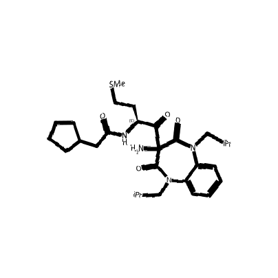 CSCC[C@H](NC(=O)CC1CCCC1)C(=O)C1(N)C(=O)N(CC(C)C)c2ccccc2N(CC(C)C)C1=O